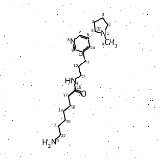 CN1CCC[C@H]1c1cncc(CCCNC(=O)CCCCCCN)c1